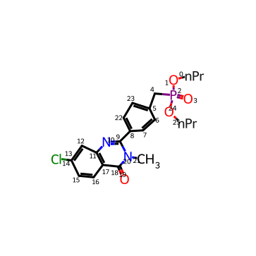 CCCOP(=O)(Cc1ccc(-c2nc3cc(Cl)ccc3c(=O)n2C)cc1)OCCC